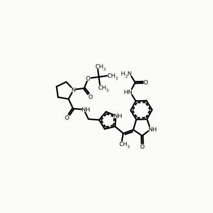 C/C(=C1\C(=O)Nc2ccc(NC(N)=O)cc21)c1cc(CNC(=O)C2CCCN2C(=O)OC(C)(C)C)c[nH]1